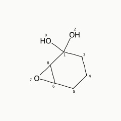 OC1(O)CCCC2OC21